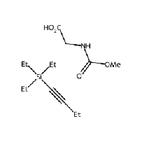 CCC#C[Si](CC)(CC)CC.COC(=O)NCC(=O)O